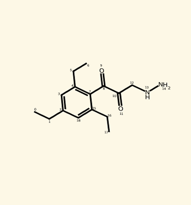 CCc1cc(CC)c(C(=O)C(=O)CNN)c(CC)c1